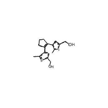 Cc1sc(CO)cc1C1=C(c2cc(CO)sc2C)CCC1